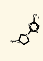 [2H][C@@H]1CCN(c2nc(C(F)(F)F)cs2)C1